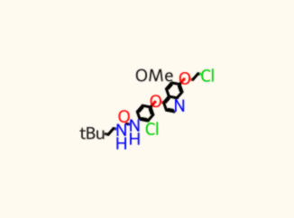 COc1cc2c(Oc3ccc(NC(=O)NCCC(C)(C)C)c(Cl)c3)ccnc2cc1OCCCl